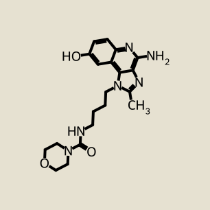 Cc1nc2c(N)nc3ccc(O)cc3c2n1CCCCNC(=O)N1CCOCC1